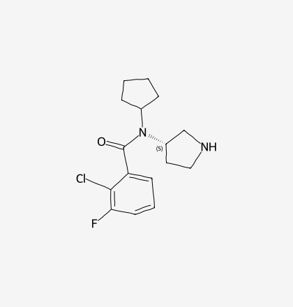 O=C(c1cccc(F)c1Cl)N(C1CCCC1)[C@H]1CCNC1